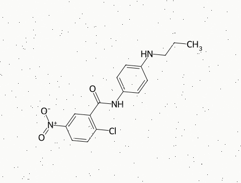 CCCNc1ccc(NC(=O)c2cc([N+](=O)[O-])ccc2Cl)cc1